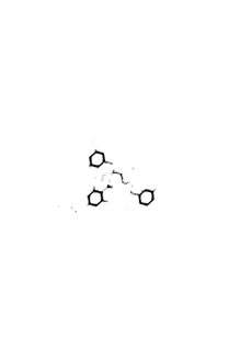 CCc1cccc(CNC[C@H](O)[C@H](Cc2cc(F)cc(F)c2)NC(=O)c2c(C)cc(NC(C)=O)cc2C)c1